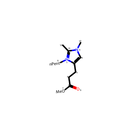 CCCCC[n+]1c(CCC(=O)OC)cn(C)c1C